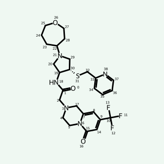 O=C(CN1CCn2c(cc(C(F)(F)F)cc2=O)C1)NC1CN(C2CCCOCC2)C[C@@H]1SCc1ccccn1